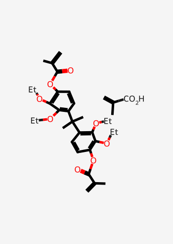 C=C(C)C(=O)O.C=C(C)C(=O)Oc1ccc(C(C)(C)c2ccc(OC(=O)C(=C)C)c(OCC)c2OCC)c(OCC)c1OCC